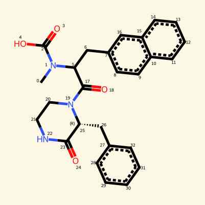 CN(C(=O)O)C(Cc1ccc2ccccc2c1)C(=O)N1CCNC(=O)[C@H]1Cc1ccccc1